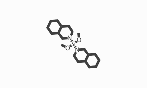 CO[Si](OC)(N1CCC2CCCCC2C1)N1CCC2CCCCC2C1